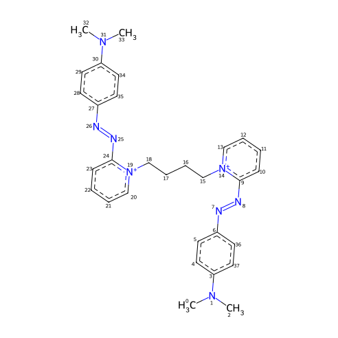 CN(C)c1ccc(/N=N/c2cccc[n+]2CCCC[n+]2ccccc2/N=N/c2ccc(N(C)C)cc2)cc1